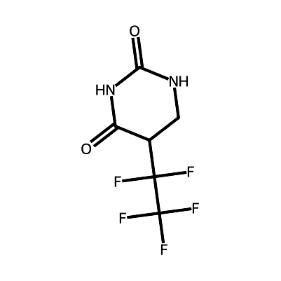 O=C1NCC(C(F)(F)C(F)(F)F)C(=O)N1